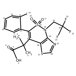 CC(C)(C(=O)O)C1=C(c2ccccc2I)S(=O)(=O)N(CC(F)(F)F)c2ncsc21